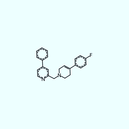 Fc1ccc(C2=CCN(Cc3cc(-c4ccccc4)ccn3)CC2)cc1